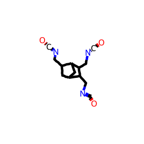 O=C=NCC1CC2CC1C(CN=C=O)C2CN=C=O